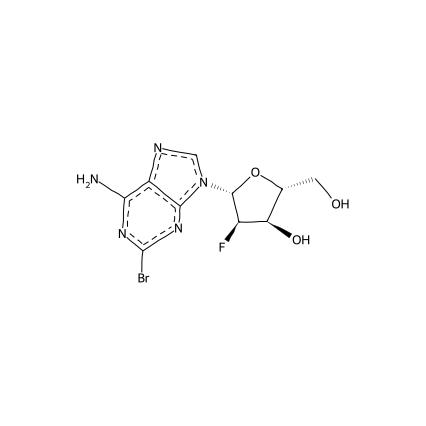 Nc1nc(Br)nc2c1ncn2[C@@H]1O[C@H](CO)[C@@H](O)[C@H]1F